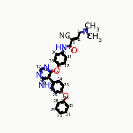 CN(C)C/C=C(\C#N)C(=O)Nc1ccc(Oc2ncnc(N)c2-c2ccc(Oc3ccccc3)cc2)cc1